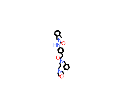 O=C(Cc1ccc(NC(=O)N2Cc3ccccc3C2)cc1)N(CCCN1CCOCC1)Cc1ccccc1